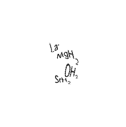 O.[La].[MgH2].[SrH2]